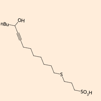 CCCCC(O)C#CCCCCCCCSCCCS(=O)(=O)O